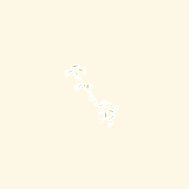 O=C(CCN1C(=O)C=CC1=O)NCCOCCC(=O)Oc1c(F)c(F)cc(F)c1F